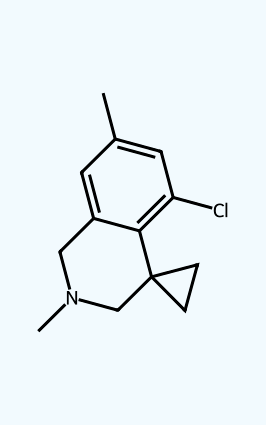 Cc1cc(Cl)c2c(c1)CN(C)CC21CC1